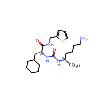 NCCCC[C@H](NC(=O)N[C@H](CC1CCCCC1)C(=O)NCc1cccs1)C(=O)O